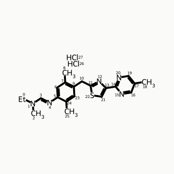 CCN(C)C=Nc1cc(C)c(Cc2nc(-c3ncc(C)cn3)cs2)cc1C.Cl.Cl